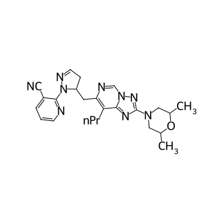 CCCc1c(CC2CC=NN2c2ncccc2C#N)ncn2nc(N3CC(C)OC(C)C3)nc12